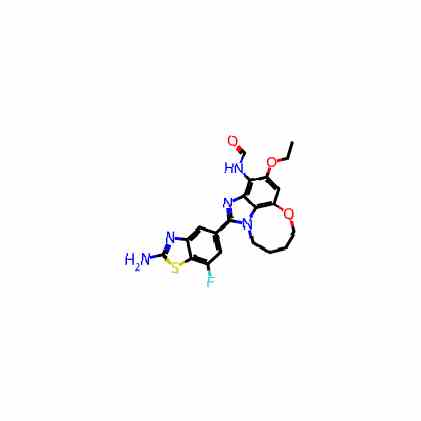 CCOc1cc2c3c(nc(-c4cc(F)c5sc(N)nc5c4)n3CCCCO2)c1NC=O